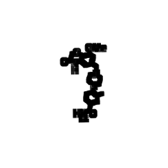 CCNC(=O)c1ccc(N2CCN(Cc3cc4c(c(OC)c3)OCC(=O)N4)CC2)c(C)c1